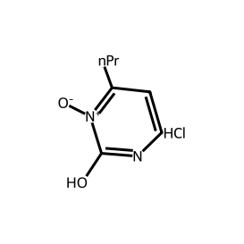 CCCc1ccnc(O)[n+]1[O-].Cl